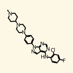 CN1CCC(N2CCN(c3ccc(-n4ncc5c(Nc6ccc(F)cc6Cl)ncnc54)cc3)CC2)CC1